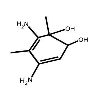 CC1=C(N)C(C)(O)C(O)C=C1N